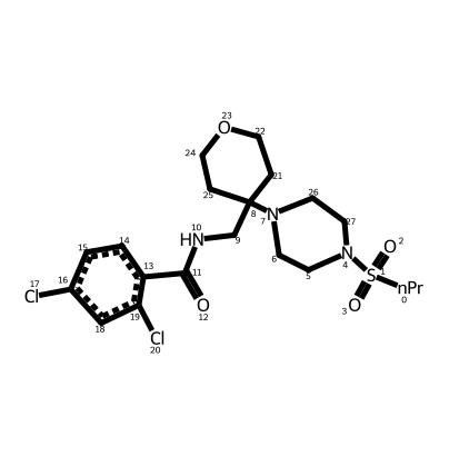 CCCS(=O)(=O)N1CCN(C2(CNC(=O)c3ccc(Cl)cc3Cl)CCOCC2)CC1